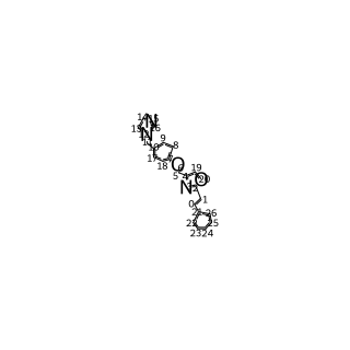 C(=Cc1nc(COc2ccc(Cn3ccnc3)cc2)co1)c1ccccc1